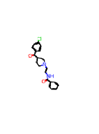 O=C(NCCN1CCC(C(=O)c2ccc(Cl)cc2)CC1)c1ccccc1